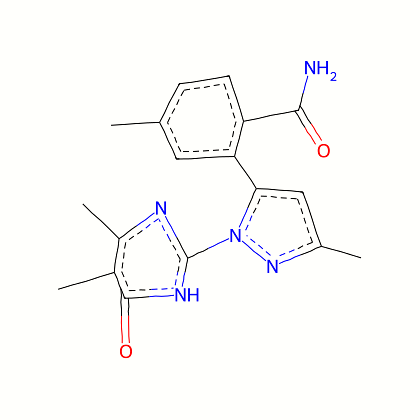 Cc1ccc(C(N)=O)c(-c2cc(C)nn2-c2nc(C)c(C)c(=O)[nH]2)c1